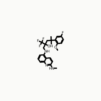 CNc1ccc2c(NCC(O)(CC(C)(C)c3cc(F)ccc3OC)C(F)(F)F)cccc2n1